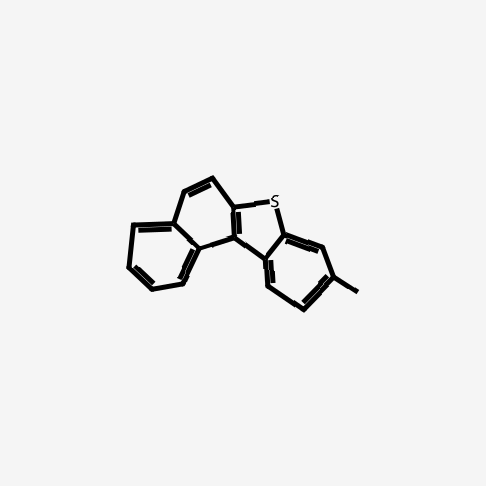 Cc1ccc2c(c1)sc1ccc3ccccc3c12